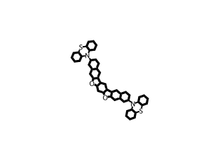 c1ccc2c(c1)Sc1ccccc1N2c1ccc2cc3c(cc2c1)oc1cc2oc4cc5cc(N6c7ccccc7Sc7ccccc76)ccc5cc4c2cc13